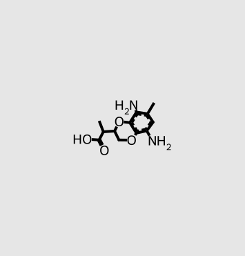 Cc1cc(N)c2c(c1N)OC(C(C)C(=O)O)CO2